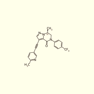 Cc1ccc(C#Cc2cnn3c2C(=O)N(c2ccc(C(F)(F)F)cc2)C[C@@H]3C)cn1